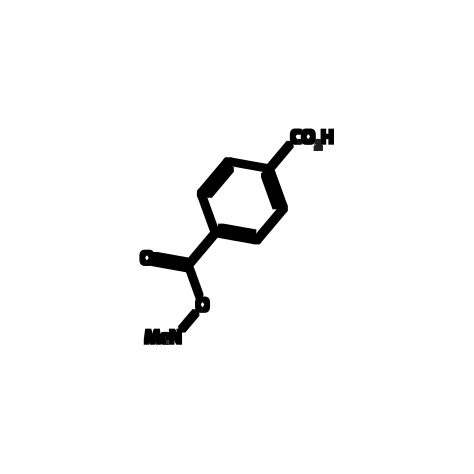 CNOC(=O)c1ccc(C(=O)O)cc1